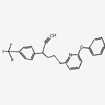 C#CC(CCCc1cccc(Oc2ccccc2)n1)c1ccc(C(F)(F)F)cc1